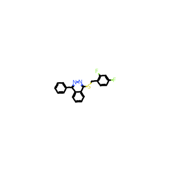 Fc1ccc(CSc2nnc(-c3ccccc3)c3ccccc23)c(F)c1